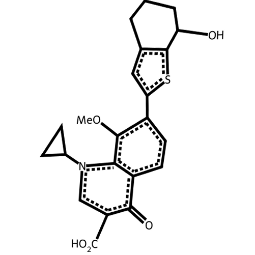 COc1c(-c2cc3c(s2)C(O)CCC3)ccc2c(=O)c(C(=O)O)cn(C3CC3)c12